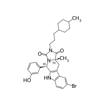 CC1CCC(CCCN2C(=O)N3[C@H](c4cccc(O)c4)c4[nH]c5ccc(Br)cc5c4C[C@@]3(C)C2=O)CC1